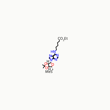 CCOC(=O)CCCCCNc1ncnc2c1ncn2[C@@H]1O[C@H](CSC)[C@H]2OC(C)(C)O[C@H]21